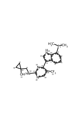 CP(C)c1cccc2c(-c3nc(NCC4(O)CC4)ncc3C(F)(F)F)c[nH]c12